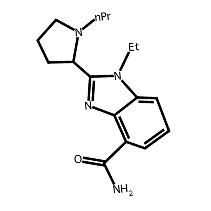 CCCN1CCCC1c1nc2c(C(N)=O)cccc2n1CC